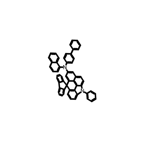 c1ccc(-c2ccc(N(c3cc4c5c(ccc6c5c5c(cccc5n6-c5ccccc5)C45c4ccccc4-c4ccccc45)c3)c3cccc4ccccc34)cc2)cc1